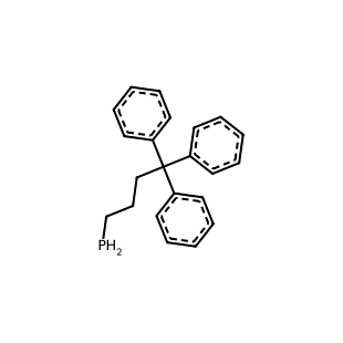 PCCCC(c1ccccc1)(c1ccccc1)c1ccccc1